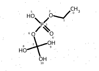 CCOP(=O)(O)OC(O)(O)O